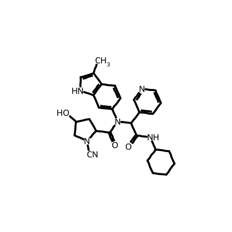 Cc1c[nH]c2cc(N(C(=O)C3CC(O)CN3C#N)C(C(=O)NC3CCCCC3)c3cccnc3)ccc12